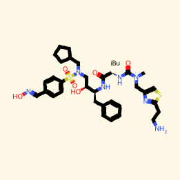 CC[C@H](C)[C@H](NC(=O)N(C)Cc1csc(CCN)n1)C(=O)N[C@@H](Cc1ccccc1)[C@@H](O)CN(CC1CCCC1)S(=O)(=O)c1ccc(C=NO)cc1